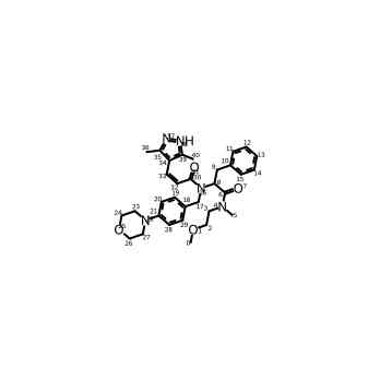 COCCN(C)C(=O)C(Cc1ccccc1)N(Cc1ccc(N2CCOCC2)cc1)C(=O)C=Cc1c(C)n[nH]c1C